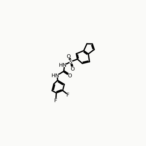 O=C(Nc1ccc(F)c(F)c1)NS(=O)(=O)c1ccc2c(c1)CC=C2